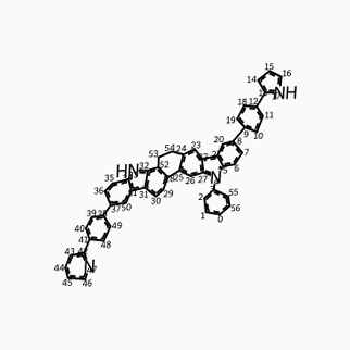 c1ccc(-n2c3ccc(-c4ccc(-c5ccc[nH]5)cc4)cc3c3cc4c(cc32)-c2ccc3c([nH]c5ccc(-c6ccc(-c7ccccn7)cc6)cc53)c2CC4)cc1